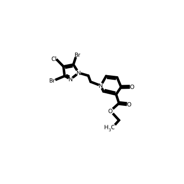 CCOC(=O)c1cn(CCn2nc(Br)c(Cl)c2Br)ccc1=O